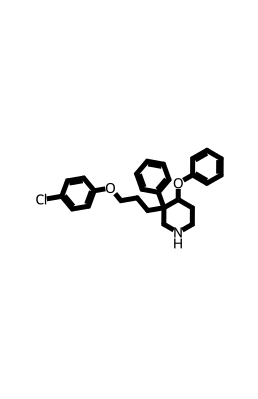 Clc1ccc(OCCCC2(c3ccccc3)CNCCC2Oc2ccccc2)cc1